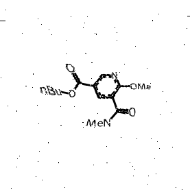 CCCCOC(=O)c1cnc(OC)c(C(=O)NC)c1